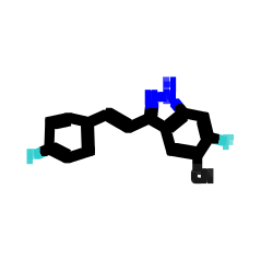 N#Cc1cc2c(/C=C/c3ccc(F)cc3)n[nH]c2cc1F